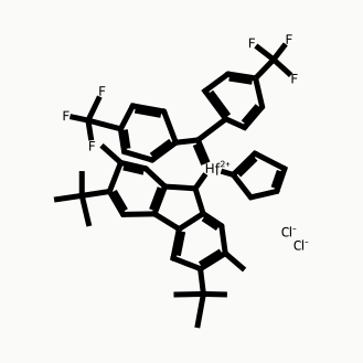 Cc1cc2c(cc1C(C)(C)C)-c1cc(C(C)(C)C)c(C)cc1[CH]2[Hf+2]([C]1=CC=CC1)=[C](c1ccc(C(F)(F)F)cc1)c1ccc(C(F)(F)F)cc1.[Cl-].[Cl-]